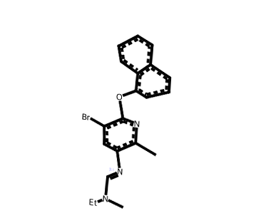 CCN(C)/C=N/c1cc(Br)c(Oc2cccc3ccccc23)nc1C